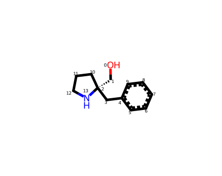 OC[C@@]1(Cc2ccccc2)CCCN1